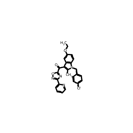 CCOc1ccc2c(c1)c(C(=O)c1nc(-c3ccccn3)no1)c(C)n2Cc1ccc(Cl)cc1